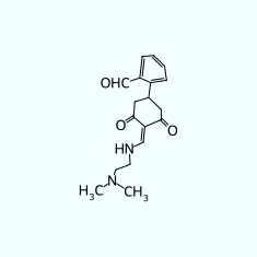 CN(C)CCNC=C1C(=O)CC(c2ccccc2C=O)CC1=O